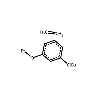 C=C.CCOc1cccc(OCC(C)C)c1